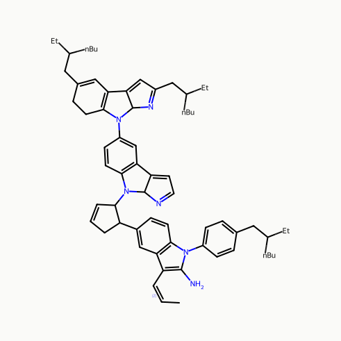 C/C=C\c1c(N)n(-c2ccc(CC(CC)CCCC)cc2)c2ccc(C3CC=CC3N3c4ccc(N5C6=C(C=C(CC(CC)CCCC)CC6)C6=CC(CC(CC)CCCC)=NC65)cc4C4=CC=NC43)cc12